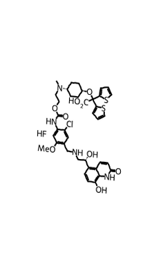 COc1cc(NC(=O)OCCN(C)[C@H]2CC[C@H](OC(C(=O)O)(c3cccs3)c3cccs3)CC2)c(Cl)cc1CNC[C@H](O)c1ccc(O)c2[nH]c(=O)ccc12.F